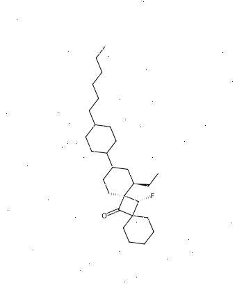 CCCCCCC1CCC(C2CC[C@]3(C(=O)C4(CCCCC4)[C@H]3F)[C@H](CC)C2)CC1